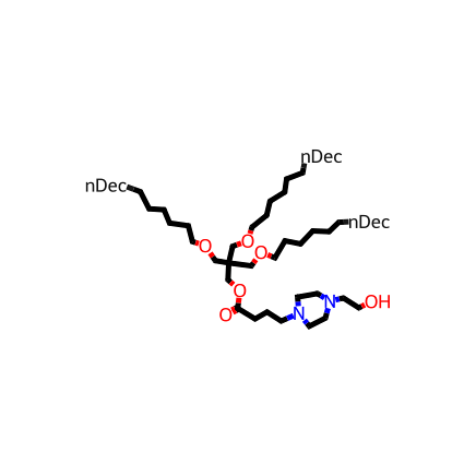 CCCCCCCCCCCCCCCCOCC(COCCCCCCCCCCCCCCCC)(COCCCCCCCCCCCCCCCC)COC(=O)CCCN1CCN(CCO)CC1